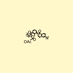 CC(=O)OCC(=O)OCc1c(B2OC(C)(C)C(C)(C)O2)cccc1-n1ccc2cc(N(C)C)ccc2c1=O